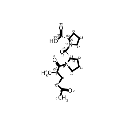 CC(=O)SC[C@@H](C)C(=O)N1CCC[C@H]1C(=O)N1CCC[C@H]1C(=O)O